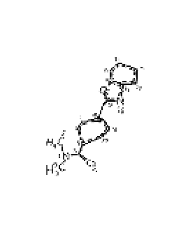 CN(C)C(=O)c1ccc(-c2nc3ccccc3o2)cc1